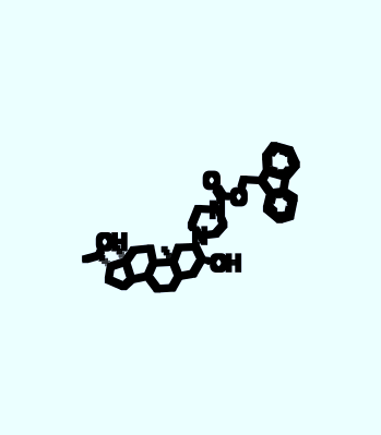 CC(O)[C@H]1CCC2C3CCC4C[C@H](O)[C@@H](N5CCN(C(=O)OCC6c7ccccc7-c7ccccc76)CC5)C[C@]4(C)C3CC[C@@]21C